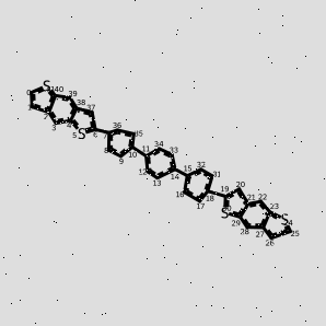 c1cc2cc3sc(-c4ccc(-c5ccc(-c6ccc(-c7cc8cc9sccc9cc8s7)cc6)cc5)cc4)cc3cc2s1